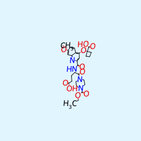 CCOC(=O)N1CCN(C(=O)C(CCC(=O)O)NC(=O)c2cc(OC3(C(=O)O)CCC3)c3ccc(OC)cc3n2)CC1